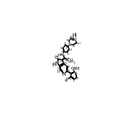 COc1cccc(F)c1-c1cc2c(cn1)NC(=O)/C2=C(/C)Nc1ccc(N2CCNCC2)cc1